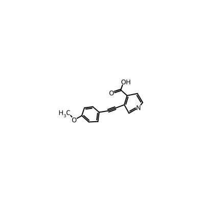 COc1ccc(C#Cc2cnccc2C(=O)O)cc1